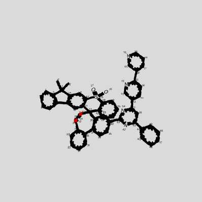 CC1(C)c2ccccc2-c2cc3c(cc21)S(=O)(=O)c1ccccc1C31c2ccccc2-c2ccccc2-c2ccc(-c3nc(-c4ccccc4)cc(-c4ccc(-c5cccnc5)nc4)n3)cc21